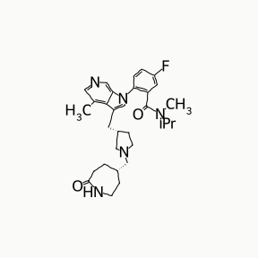 Cc1cncc2c1c(C[C@@H]1CCN(C[C@@H]3CCNC(=O)CC3)C1)cn2-c1ccc(F)cc1C(=O)N(C)C(C)C